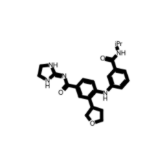 CC(C)NC(=O)c1cccc(Nc2ccc(C(=O)N=C3NCCN3)cc2C2CCOC2)c1